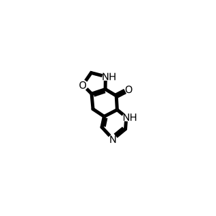 O=C1C2=C(CC3=CN=CNC13)OCN2